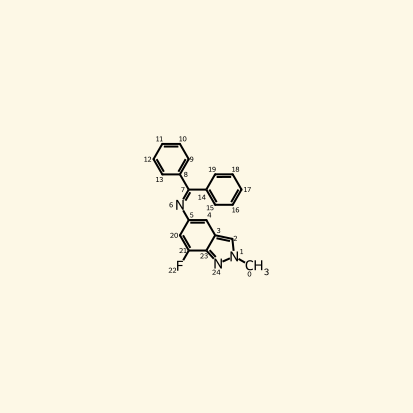 Cn1cc2cc(N=C(c3ccccc3)c3ccccc3)cc(F)c2n1